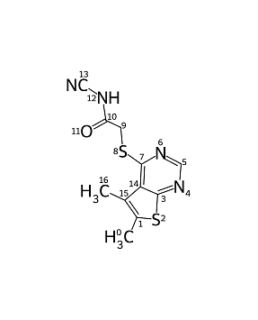 Cc1sc2ncnc(SCC(=O)NC#N)c2c1C